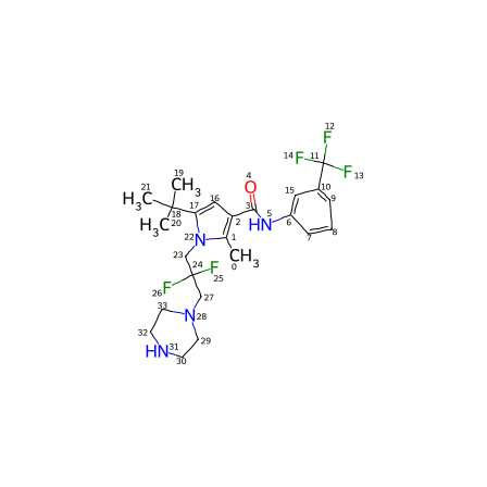 Cc1c(C(=O)Nc2cccc(C(F)(F)F)c2)cc(C(C)(C)C)n1CC(F)(F)CN1CCNCC1